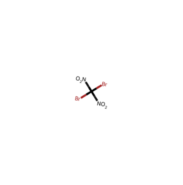 O=[N+]([O-])C(Br)(Br)[N+](=O)[O-]